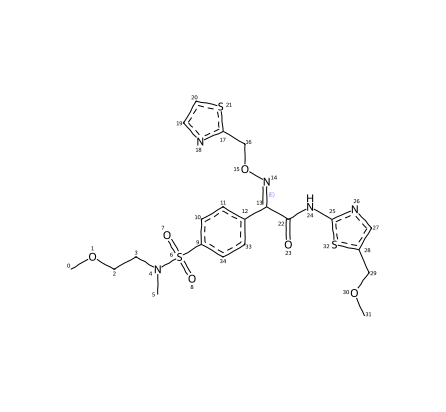 COCCN(C)S(=O)(=O)c1ccc(/C(=N\OCc2nccs2)C(=O)Nc2ncc(COC)s2)cc1